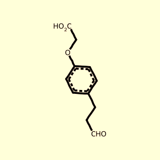 O=CCCc1ccc(OCC(=O)O)cc1